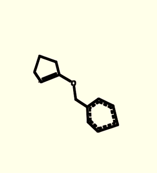 [C]1=C(OCc2ccccc2)CCC1